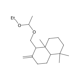 C=C1CCC2C(C)(C)CCCC2(C)C1COC(C)OCC